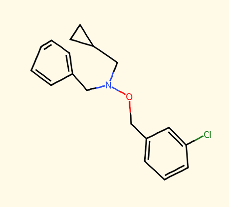 Clc1cccc(CON(Cc2ccccc2)CC2CC2)c1